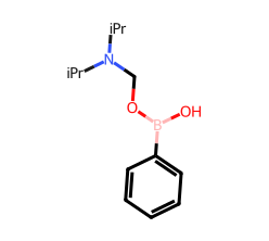 CC(C)N(COB(O)c1ccccc1)C(C)C